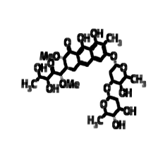 CO[C@@H]1C(=O)c2c(cc3cc(O[C@H]4CC(O[C@H]5CC(O)[C@H](O)C(C)O5)[C@H](O)C(C)O4)c(C)c(O)c3c2O)C[C@H]1[C@H](OC)C(=O)[C@@H](O)[C@@H](C)O